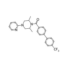 CC1CN(c2ccccn2)CC(C)N1C(=O)c1ccc(-c2ccc(C(F)(F)F)cc2)cc1